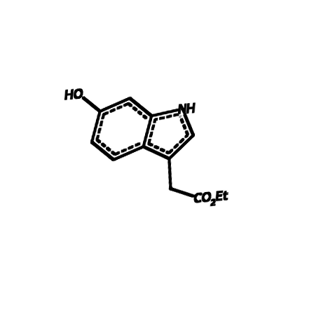 CCOC(=O)Cc1c[nH]c2cc(O)ccc12